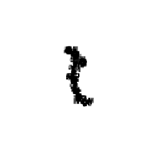 O=C1CCC(Nc2ccc(C3CCN(C(=O)Cc4ccc(CCCNC(=O)c5cc(NC(=O)c6cc(-c7ccccn7)c(Cl)cc6Cl)n(-c6ccccc6)n5)cc4)CC3)cc2)C(=O)N1.O=CO